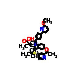 COc1cccc(-c2ccc(Cn3c(CC(C)(C)C(=O)O)c(SC(C)(C)C)c4cc(O[C@H](C)c5ccccn5)ccc43)cc2)n1